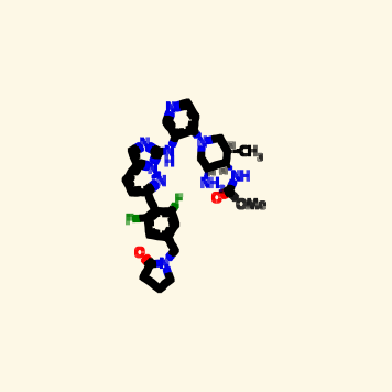 COC(=O)N[C@@H]1[C@H](N)CN(c2ccncc2Nc2ncc3ccc(-c4c(F)cc(CN5CCCC5=O)cc4F)nn23)C[C@@H]1C